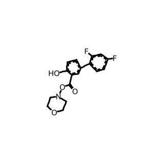 O=C(ON1CCOCC1)c1cc(-c2ccc(F)cc2F)ccc1O